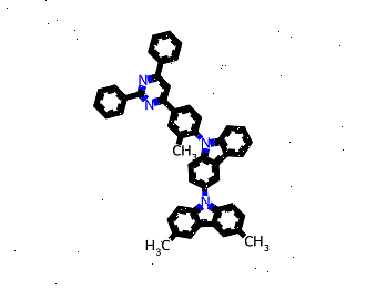 Cc1ccc2c(c1)c1cc(C)ccc1n2-c1ccc2c(c1)c1ccccc1n2-c1ccc(-c2cc(-c3ccccc3)nc(-c3ccccc3)n2)cc1C